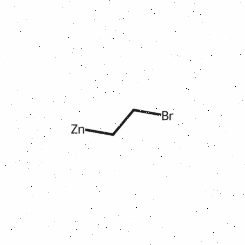 [Zn][CH2]CBr